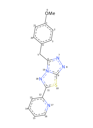 COc1ccc(Cc2nnc3sc(-c4ccccn4)nn23)cc1